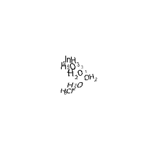 Cl.O.O.O.O.[InH3]